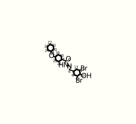 O=C(N/N=C/c1cc(Br)c(O)c(Br)c1)c1ccc(Oc2ccccc2)cc1